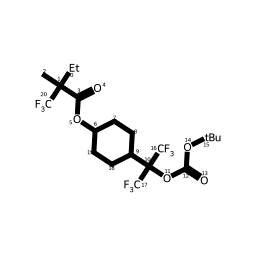 CCC(C)(C(=O)OC1CCC(C(OC(=O)OC(C)(C)C)(C(F)(F)F)C(F)(F)F)CC1)C(F)(F)F